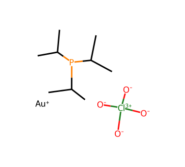 CC(C)P(C(C)C)C(C)C.[Au+].[O-][Cl+3]([O-])([O-])[O-]